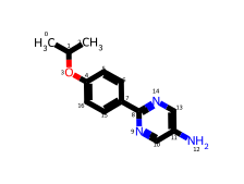 CC(C)Oc1ccc(-c2ncc(N)cn2)cc1